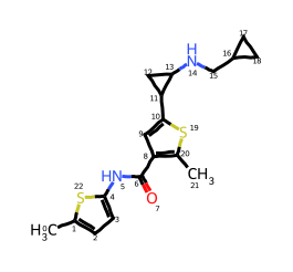 Cc1ccc(NC(=O)c2cc(C3CC3NCC3CC3)sc2C)s1